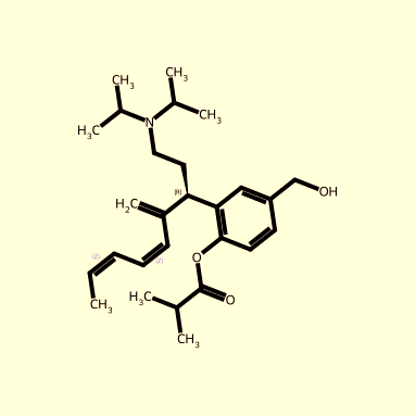 C=C(/C=C\C=C/C)[C@@H](CCN(C(C)C)C(C)C)c1cc(CO)ccc1OC(=O)C(C)C